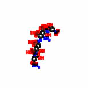 Nc1c(N=Nc2ccc3c(O)c(N=Nc4ccc(S(N)(=O)=O)cc4C(=O)O)c(S(=O)(=O)O)cc3c2S(=O)(=O)O)cc(S(=O)(=O)O)c2cc(S(=O)(=O)O)c(N=Nc3cc([N+](=O)[O-])ccc3C(=O)O)c(O)c12